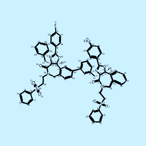 O=C1N(CCS(=O)(=O)c2ccccc2)Cc2ccccc2[C@@H]2OC(c3ccc(O)cc3)=N[C@]12Cc1cccc(-c2ccc3c(c2)[C@@H]2OC(c4ccc(F)cc4)=N[C@]2(Cc2ccccc2)C(=O)N(CCS(=O)(=O)c2ccccc2)C3)c1